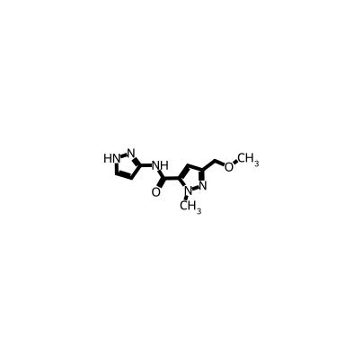 COCc1cc(C(=O)Nc2cc[nH]n2)n(C)n1